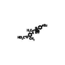 CCCCc1ccc(S(=O)(=O)N(CCC)CC(C)Sc2ccc(OCC(=O)O)c(C)c2)cc1